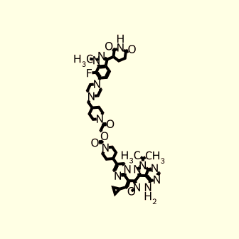 CC(C)n1nc(-c2noc(C3CC3)c2-c2ncc(C3CCN(C(=O)OCC(=O)N4CCC(CN5CCN(c6ccc7c(C8CCC(=O)NC8=O)nn(C)c7c6F)CC5)CC4)CC3)cn2)c2c(N)ncnc21